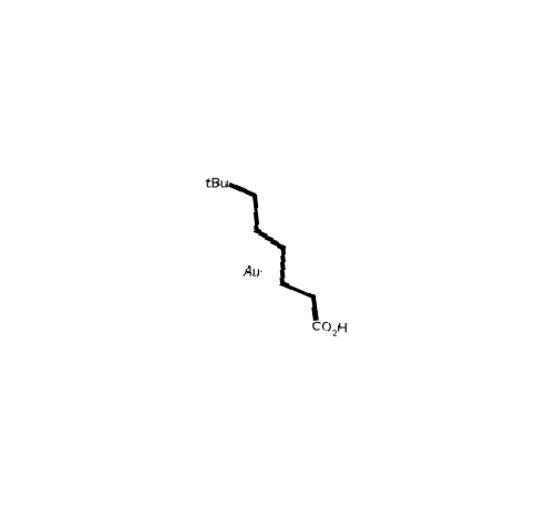 CC(C)(C)CCCCCC(=O)O.[Au]